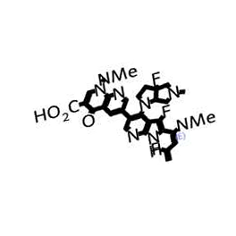 C=C(F)/C=C(/NC)c1[nH]c2ncc(-c3cnc4c(c3)c(=O)c(C(=O)O)cn4NC)c(N3CCC4(F)CN(C)CC34)c2c1F